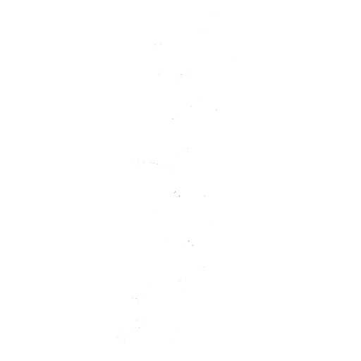 COc1cccc(OCC(=O)N2CCN(Cc3ccc(Cl)cc3)CC2)c1C=O